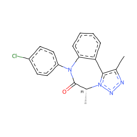 Cc1nnn2c1-c1ccccc1N(c1ccc(Cl)cc1)C(=O)[C@H]2C